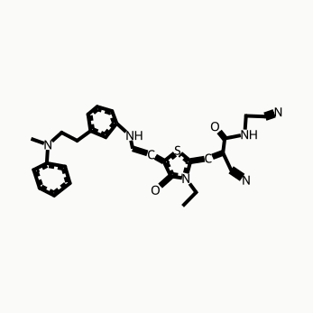 CCn1c(=C=C(C#N)C(=O)NCC#N)sc(=C=CNc2cccc(CCN(C)c3ccccc3)c2)c1=O